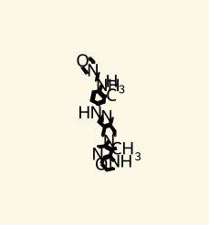 Cc1cc(Nc2cc3c(cn2)CCN(c2cnc4c(c2C)NCCO4)C3)ccc1NCCN1CCOCC1